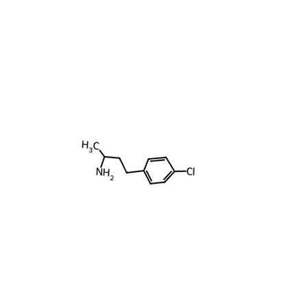 CC(N)CCc1ccc(Cl)cc1